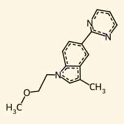 COCCn1cc(C)c2cc(-c3ncccn3)ccc21